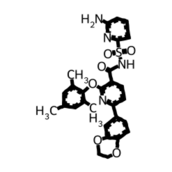 Cc1cc(C)c(Oc2nc(-c3ccc4c(c3)OCCO4)ccc2C(=O)NS(=O)(=O)c2cccc(N)n2)c(C)c1